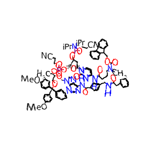 COc1ccc(C(OCC(OCn2cnc3c(NC(=O)c4ccc(CNC(=O)Cc5ccccc5)cc4)ncnc32)C(C)OP(=O)(OCCC#N)OC[C@H]2O[C@@H](n3ccc(NC(=O)CCCN(C)C(=O)OCC4c5ccccc5-c5ccccc54)nc3=O)CC2OP(OCCC#N)N(C(C)C)C(C)C)(c2ccccc2)c2ccc(OC)cc2)cc1